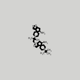 CC(C)(C)N1CCC2(CC1)c1co[n+](CC(C)(C)N3CCC4(CC3)c3cnoc3C[C@H]4N)c1C[C@H]2N